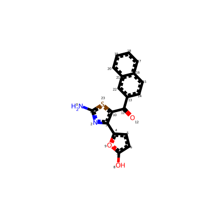 Nc1nc(-c2ccc(O)o2)c(C(=O)c2ccc3ccccc3c2)s1